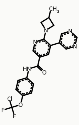 CC1CN(c2ncc(C(=O)Nc3ccc(OC(F)(F)Cl)cc3)cc2-c2cncnc2)C1